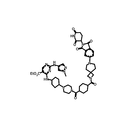 CCOC(=O)c1cnc(Nc2cnn(C)c2)nc1NC1CCC(N2CCN(C(=O)C3CCC(C(=O)N4CC5(CCN(c6ccc7c(c6)C(=O)N(C6CCC(=O)NC6=O)C7=O)CC5)C4)CC3)CC2)CC1